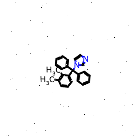 Cc1cccc(C(c2ccccc2)(c2ccccc2)n2ccnc2)c1C